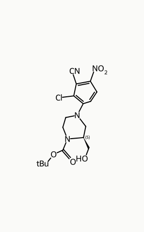 CC(C)(C)OC(=O)N1CCN(c2ccc([N+](=O)[O-])c(C#N)c2Cl)C[C@H]1CO